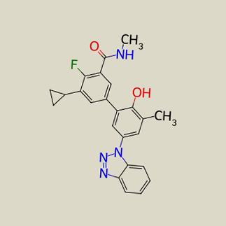 CNC(=O)c1cc(-c2cc(-n3nnc4ccccc43)cc(C)c2O)cc(C2CC2)c1F